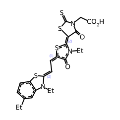 CCc1ccc2c(c1)N(CC)/C(=C/C=c1/s/c(=C3\SC(=S)N(CC(=O)O)C3=O)n(CC)c1=O)S2